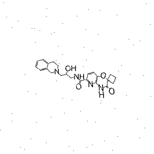 O=C(NCC(O)CN1CCc2ccccc2C1)c1ccc2c(n1)NC(=O)C1(CCC1)O2